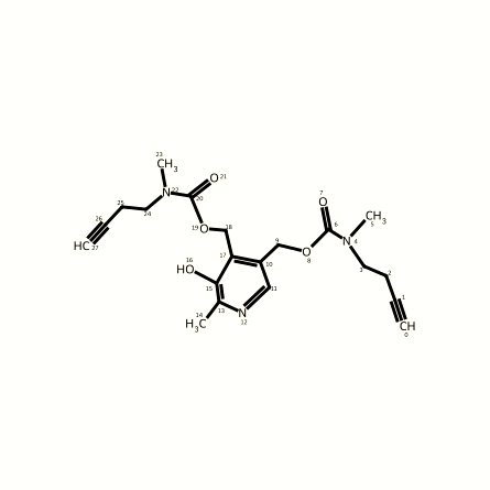 C#CCCN(C)C(=O)OCc1cnc(C)c(O)c1COC(=O)N(C)CCC#C